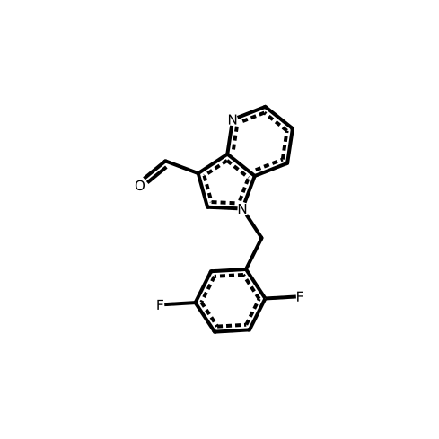 O=Cc1cn(Cc2cc(F)ccc2F)c2cccnc12